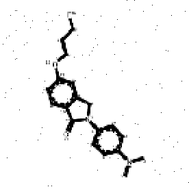 CN(C)c1ccc(N2Cc3cc(OCCCF)ccc3C2=O)cc1